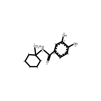 O=C(NC1(C(=O)O)CCCCC1)c1ccc(O)c(O)c1